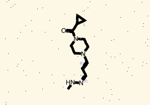 CN/N=C\C=C\N1CCN(C(=O)C2CC2)CC1